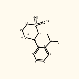 CC(C)c1ccccc1C1CS(=N)(=O)CCN1